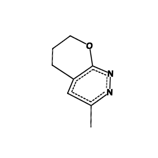 Cc1cc2c(nn1)OCCC2